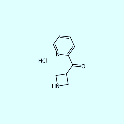 Cl.O=C(c1ccccn1)C1CNC1